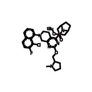 CN1CCCC1COc1nc2c(c(N3CC4CCC(C3)N4C(=O)OC(C)(C)C)n1)CCN(c1cccc3ccc(F)c(Cl)c13)C2